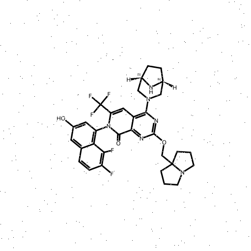 O=c1c2nc(OCC34CCCN3CCC4)nc(N3C[C@H]4CC[C@@H](C3)N4)c2cc(C(F)(F)F)n1-c1cc(O)cc2ccc(F)c(F)c12